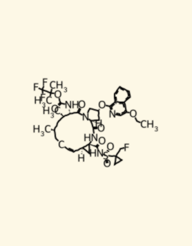 CCOc1cnc(O[C@@H]2C[C@H]3C(=O)N[C@]4(C(=O)NS(=O)(=O)C5(CF)CC5)C[C@H]4/C=C\CC[C@@H](C)C[C@@H](C)[C@H](NC(=O)OC(C)(C)C(F)(F)F)C(=O)N3C2)c2ccccc12